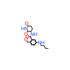 CCCCNc1ccc(C=O)c(C(=O)NC2CCC(=O)NC2=O)c1